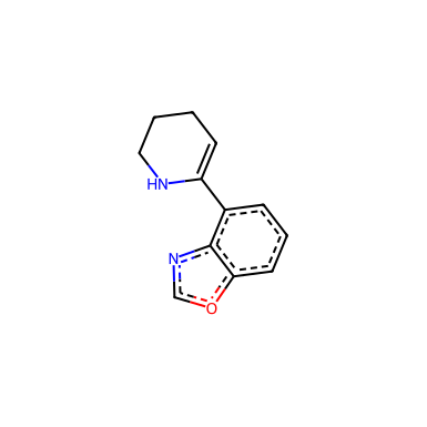 C1=C(c2cccc3ocnc23)NCCC1